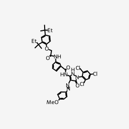 CCC(C)(C)c1ccc(OCC(=O)Nc2cccc(C(=O)Nc3[nH]n(-c4c(Cl)cc(Cl)cc4Cl)c(=O)c3/N=N/c3ccc(OC)cc3)c2)c(C(C)(C)CC)c1